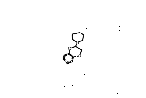 c1ccc2c(c1)OCC(N1CCCCC1)O2